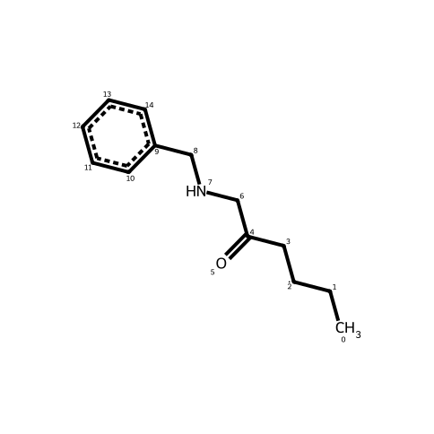 CC[CH]CC(=O)CNCc1ccccc1